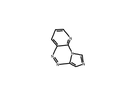 c1cnc2c(c1)nnc1cncn12